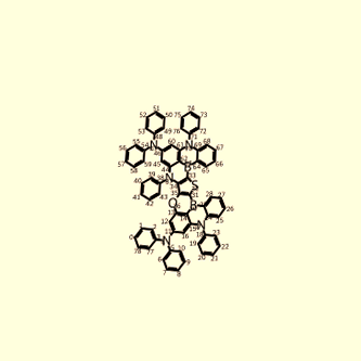 c1ccc(N(c2ccccc2)c2cc3c4c(c2)N(c2ccccc2)c2ccccc2B4c2sc4c(c2O3)N(c2ccccc2)c2cc(N(c3ccccc3)c3ccccc3)cc3c2B4c2ccccc2N3c2ccccc2)cc1